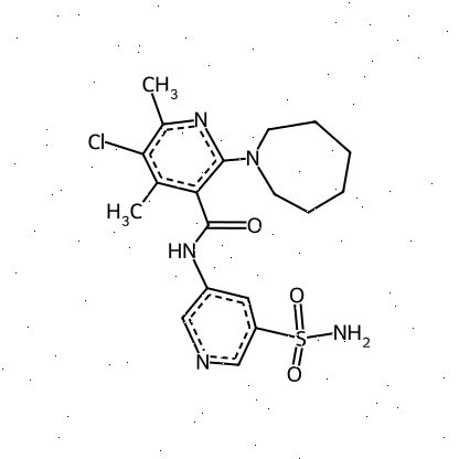 Cc1nc(N2CCCCCC2)c(C(=O)Nc2cncc(S(N)(=O)=O)c2)c(C)c1Cl